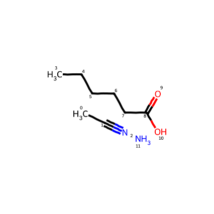 CC#N.CCCCCC(=O)O.N